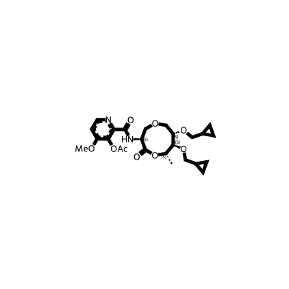 COc1ccnc(C(=O)N[C@H]2COC[C@H](OCC3CC3)[C@@H](OCC3CC3)[C@H](C)OC2=O)c1OC(C)=O